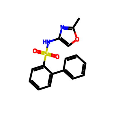 Cc1nc(NS(=O)(=O)c2ccccc2-c2ccccc2)co1